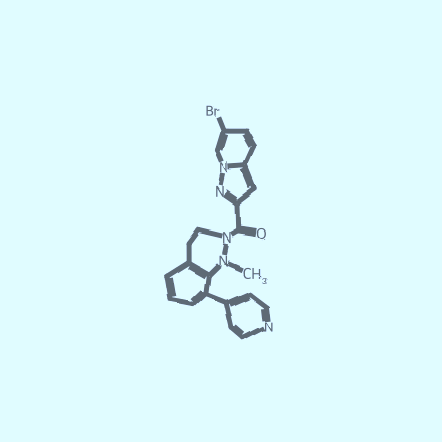 CN1c2c(cccc2-c2ccncc2)CCN1C(=O)c1cc2ccc(Br)cn2n1